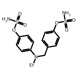 CCN(Cc1ccc(OS(N)(=O)=O)cc1)c1ccc(OS(N)(=O)=O)cc1